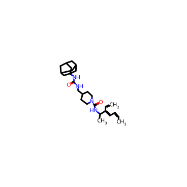 C=C/C(=C\C=C/C)C(C)NC(=O)N1CCC(CNC(=O)NC23CC4CC(CC(C4)C2)C3)CC1